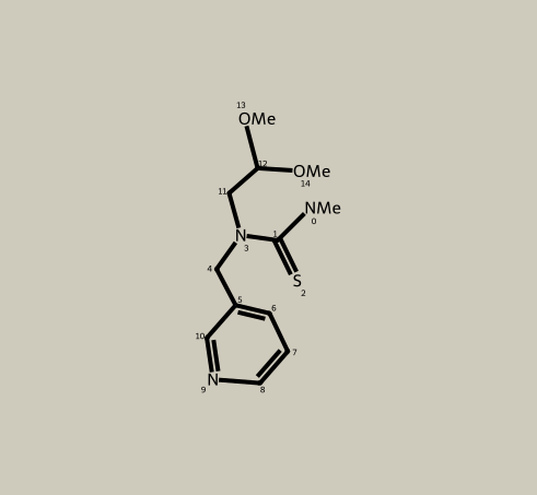 CNC(=S)N(Cc1cccnc1)CC(OC)OC